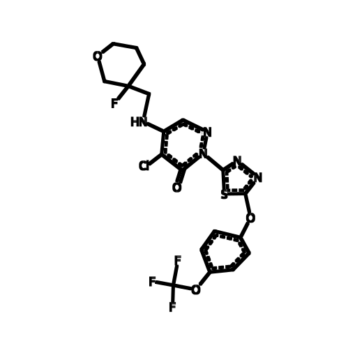 O=c1c(Cl)c(NCC2(F)CCCOC2)cnn1-c1nnc(Oc2ccc(OC(F)(F)F)cc2)s1